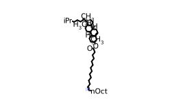 CCCCCCCC/C=C\CCCCCCCCCCCC(=O)O[C@H]1CC[C@@]2(C)C(=CC[C@H]3[C@@H]4CC[C@H]([C@H](C)CCCC(C)C)[C@@]4(C)CC[C@@H]32)C1